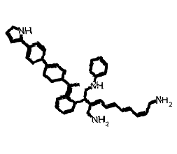 C/C(=C1/C=CC=CC1C(CNC1=CC=CCC1)/C(=C/C=C/C=C/C=C\CN)CN)C1CC=C(C2C=CC(C3C=CCN3)=CC2)CC1